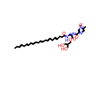 CCC=CCC=CCC=CCC=CCC=CCC=CCCC(=O)NCC(NC(=O)c1c[n+]([O-])c(C)cn1)C(=O)OCC(CO)CO